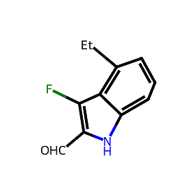 CCc1cccc2[nH]c(C=O)c(F)c12